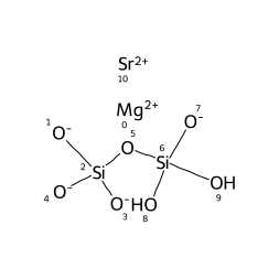 [Mg+2].[O-][Si]([O-])([O-])O[Si]([O-])(O)O.[Sr+2]